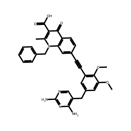 COc1cc(Cc2cnc(N)nc2N)cc(C#Cc2ccc3c(=O)c(C(=O)O)c(C)n(Cc4ccccc4)c3c2)c1OC